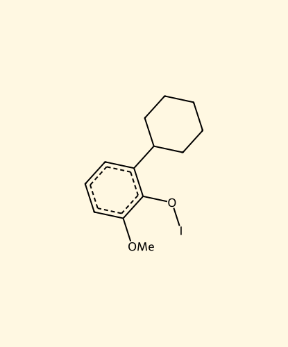 COc1cccc(C2CCCCC2)c1OI